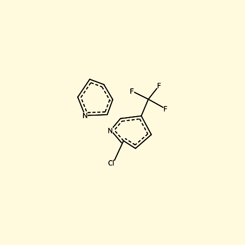 FC(F)(F)c1ccc(Cl)nc1.c1ccncc1